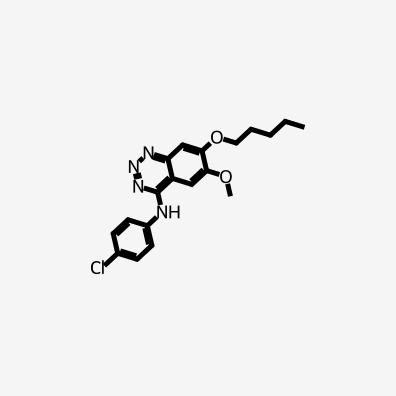 CCCCCOc1cc2nnnc(Nc3ccc(Cl)cc3)c2cc1OC